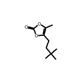 Cc1oc(=O)oc1CCC(C)(C)C